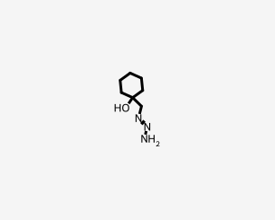 NN=NCC1(O)CCCCC1